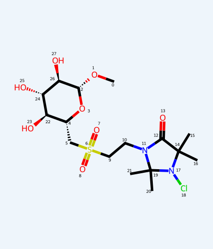 CO[C@@H]1O[C@H](CS(=O)(=O)CCN2C(=O)C(C)(C)N(Cl)C2(C)C)[C@@H](O)[C@H](O)[C@H]1O